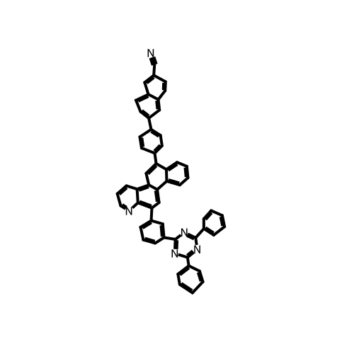 N#Cc1ccc2cc(-c3ccc(-c4cc5c6cccnc6c(-c6cccc(-c7nc(-c8ccccc8)nc(-c8ccccc8)n7)c6)cc5c5ccccc45)cc3)ccc2c1